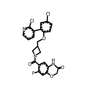 O=C1COc2cc(F)c(C(=O)N3CC(COc4ccc(Cl)cc4-c4cccnc4Cl)C3)cc2N1